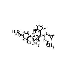 CCCN(CC1CC1)c1c2c(nc3c(-c4ccc(OC)cc4Cl)c(C)nn13)COC2